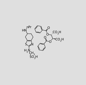 CCCNC1CCc2nc(N)sc2C1.CS(=O)(=O)O.O=C(O[C@H](C(=O)O)[C@H](OC(=O)c1ccccc1)C(=O)O)c1ccccc1